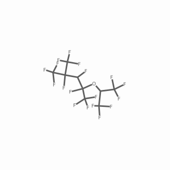 FC(C(F)(OC(C(F)(F)F)C(F)(F)F)C(F)(F)F)C(F)(C(F)(F)F)C(F)(F)F